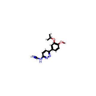 COc1ccc(-c2ccc(NC#N)nn2)cc1OC(C)C